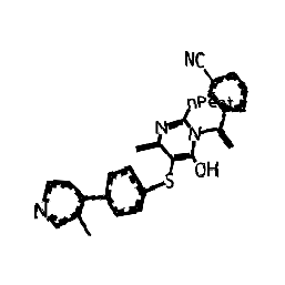 C=C1N=C(CCCCC)N(C(=C)c2cccc(C#N)c2)C(O)=C1Sc1ccc(-c2ccncc2C)cc1